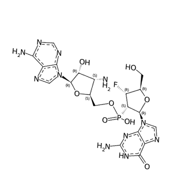 Nc1nc2c(ncn2[C@@H]2O[C@H](CO)[C@@H](F)[C@H]2P(=O)(O)OC[C@H]2O[C@@H](n3cnc4c(N)ncnc43)[C@H](O)[C@@H]2N)c(=O)[nH]1